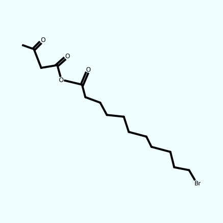 CC(=O)CC(=O)OC(=O)CCCCCCCCCCBr